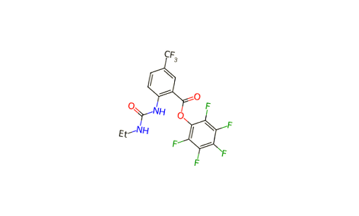 CCNC(=O)Nc1ccc(C(F)(F)F)cc1C(=O)Oc1c(F)c(F)c(F)c(F)c1F